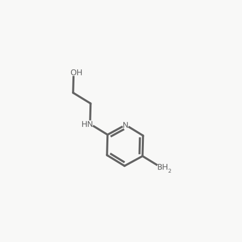 Bc1ccc(NCCO)nc1